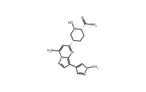 Cn1cc(-c2cnn3c(N)cc([C@H]4CC[C@@H](C(N)=O)N(O)C4)nc23)cn1